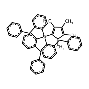 CC1=C(C)C(C)C([Si](c2ccccc2Cc2ccccc2)(c2ccccc2Cc2ccccc2)c2ccccc2Cc2ccccc2)=C1C